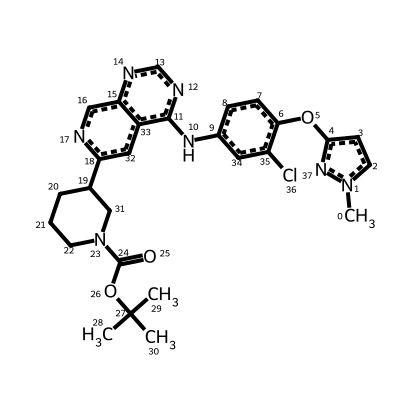 Cn1ccc(Oc2ccc(Nc3ncnc4cnc(C5CCCN(C(=O)OC(C)(C)C)C5)cc34)cc2Cl)n1